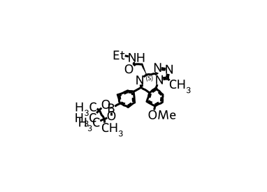 CCNC(=O)C[C@@H]1N=C(c2ccc(B3OC(C)(C)C(C)(C)O3)cc2)c2cc(OC)ccc2-n2c(C)nnc21